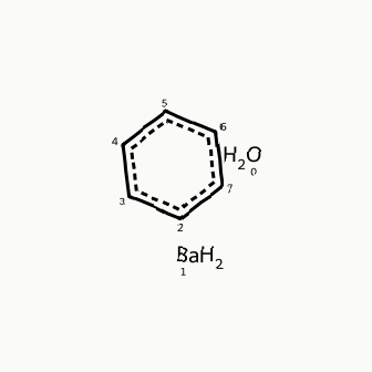 O.[BaH2].c1ccccc1